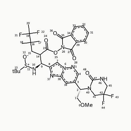 COC[C@H](c1cnn2cc([C@@H](N[S+]([O-])C(C)(C)C)C(CC(C)(C)C(C)(F)F)C(=O)ON3C(=O)c4ccccc4C3=O)nc2c1)N1CC(F)(F)CNC1=O